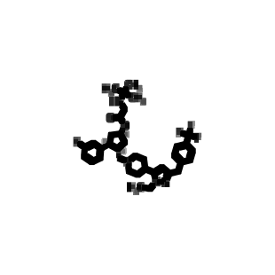 CCn1nc(Cc2ccc(C(F)(F)F)cc2)cc1C1CCN(C[C@H]2C[C@H](OC(=O)CNC(C)(C)C)C[C@@H]2c2cccc(F)c2)CC1